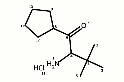 CC(C)(C)C(N)C(=O)C1CCCC1.Cl